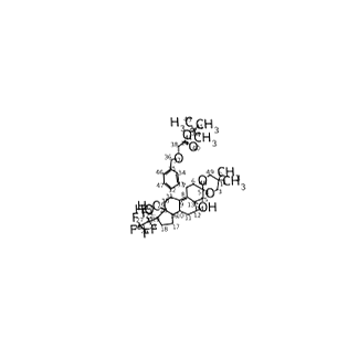 CC1(C)COC2(CCC3=C4C(CCC3(O)C2)C2CC[C@@](O)(C(F)(F)C(F)(F)F)C2(C)C[C@@H]4c2ccc(COCC(=O)OC(C)(C)C)cc2)OC1